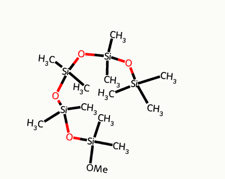 CO[Si](C)(C)O[Si](C)(C)O[Si](C)(C)O[Si](C)(C)O[Si](C)(C)C